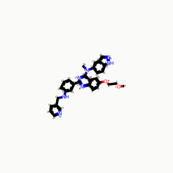 COCCOc1ccc2nc(-c3cccc(NCc4cccnc4)c3)nc(N(C)c3ccc4[nH]ncc4c3)c2c1